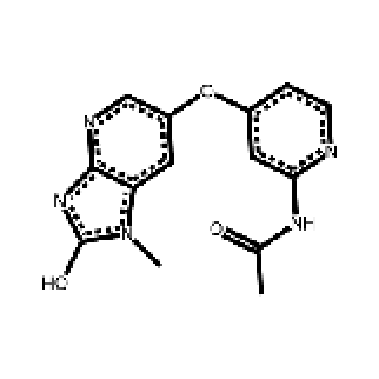 CC(=O)Nc1cc(Oc2cnc3nc(O)n(C)c3c2)ccn1